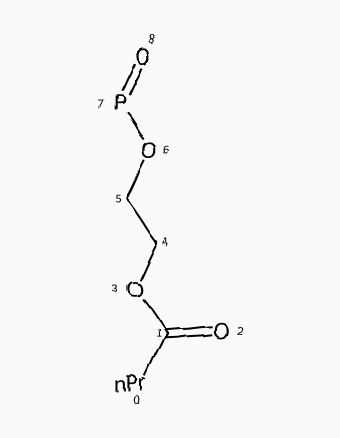 CCCC(=O)OCCOP=O